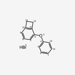 Br.c1ccc(Oc2cccc3c2CC3)cc1